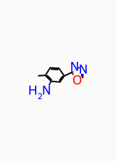 Cc1ccc(-c2nnco2)cc1N